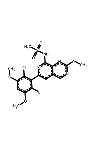 COc1cc(OC)c(Cl)c(-c2cc3cnc(SC)nc3c(NS(C)(=O)=O)n2)c1Cl